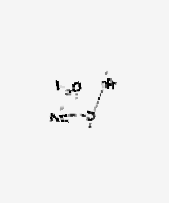 CCCOC(C)=O.O